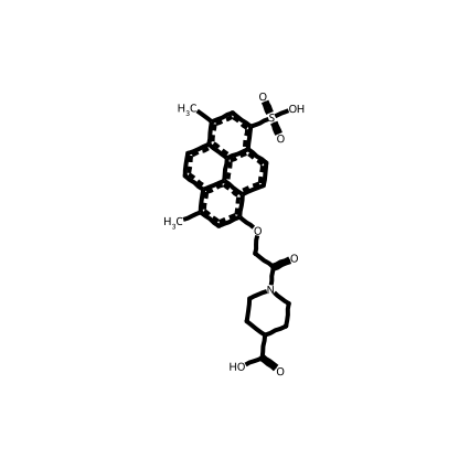 Cc1cc(OCC(=O)N2CCC(C(=O)O)CC2)c2ccc3c(S(=O)(=O)O)cc(C)c4ccc1c2c43